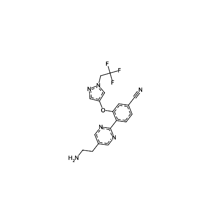 N#Cc1ccc(-c2ncc(CCN)cn2)c(Oc2cnn(CC(F)(F)F)c2)c1